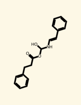 O=C(CCc1ccccc1)OC(O)NC=Cc1ccccc1